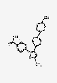 CC(C)(C)c1ccc(-c2ccc(-c3cc(C(F)(F)F)nn3-c3ccc(C(N)=O)cc3)cc2)cc1